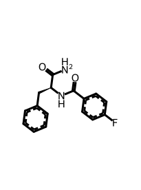 NC(=O)[C@H](Cc1ccccc1)NC(=O)c1ccc(F)cc1